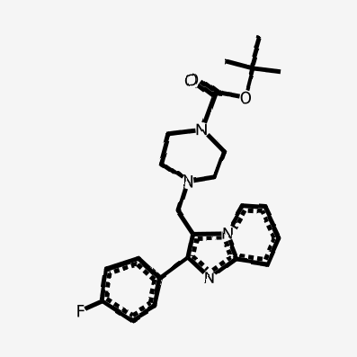 CC(C)(C)OC(=O)N1CCN(Cc2c(-c3ccc(F)cc3)nc3ccccn23)CC1